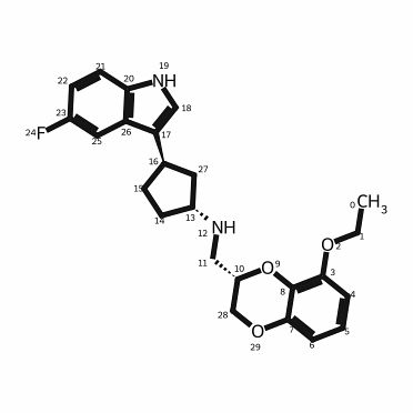 CCOc1cccc2c1O[C@@H](CN[C@@H]1CC[C@@H](c3c[nH]c4ccc(F)cc34)C1)CO2